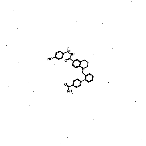 C[C@H](NC(=O)c1ccc2c(c1)CCCN2Cc1ccccc1-c1ccc(C(N)=O)cc1)c1ccc(C#N)cc1